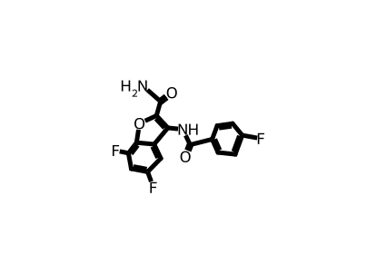 NC(=O)c1oc2c(F)cc(F)cc2c1NC(=O)c1ccc(F)cc1